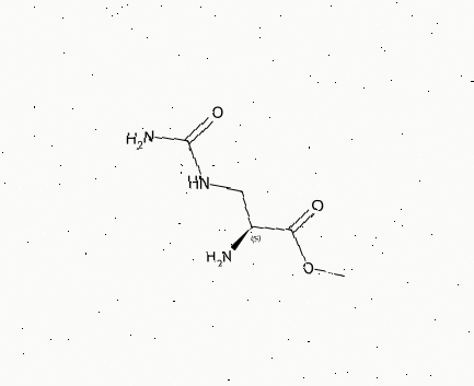 COC(=O)[C@@H](N)CNC(N)=O